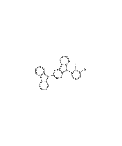 Fc1c(Br)cccc1-n1c2ccccc2c2cc(-n3c4ccccc4c4ccccc43)ccc21